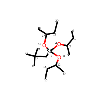 CCC(C)O[Si](CC(C)(C)C)(OC(C)CC)OC(C)CC